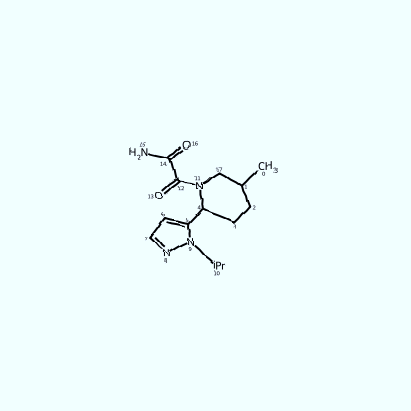 CC1CCC(c2ccnn2C(C)C)N(C(=O)C(N)=O)C1